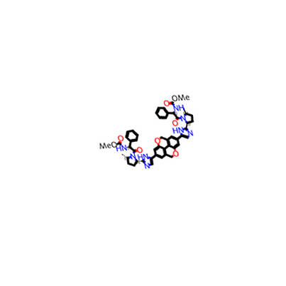 COC(=O)N[C@@H](C(=O)N1[C@@H](C)CC[C@H]1c1ncc(-c2cc3c4c(c2)OCc2cc(-c5cnc([C@@H]6CC[C@H](C)N6C(=O)[C@H](NC(=O)OC)c6ccccc6)[nH]5)cc(c2-4)OC3)[nH]1)c1ccccc1